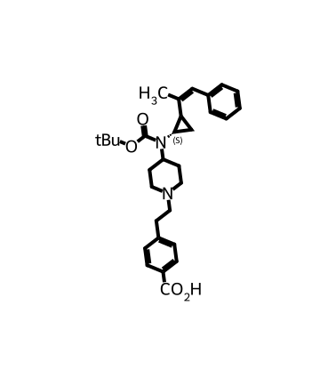 CC(=Cc1ccccc1)C1C[C@@H]1N(C(=O)OC(C)(C)C)C1CCN(CCc2ccc(C(=O)O)cc2)CC1